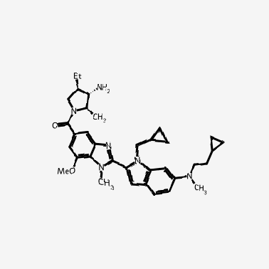 CC[C@@H]1CN(C(=O)c2cc(OC)c3c(c2)nc(-c2cc4ccc(N(C)CCC5CC5)cc4n2CC2CC2)n3C)[C@H](C)[C@H]1N